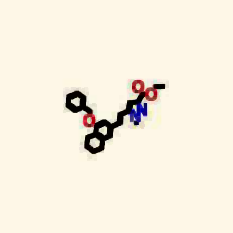 CCOC(=O)c1cc(/C=C/c2cc3c(c(OCc4ccccc4)c2)CCCC3)n(C)n1